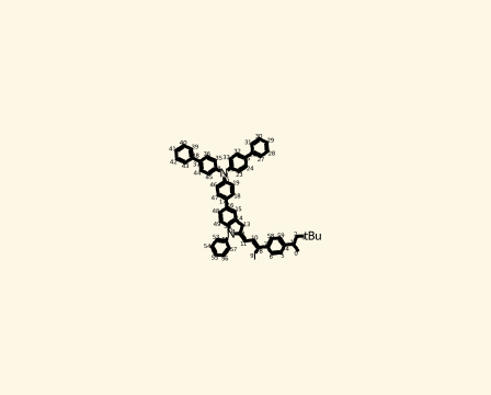 CC(CC(C)(C)C)c1ccc(/C(I)=C/C=C2\Cc3cc(-c4ccc(N(c5ccc(-c6ccccc6)cc5)c5ccc(-c6ccccc6)cc5)cc4)ccc3N2c2ccccc2)cc1